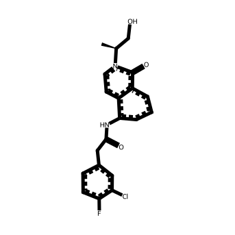 C[C@@H](CO)n1ccc2c(NC(=O)Cc3ccc(F)c(Cl)c3)cccc2c1=O